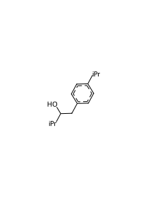 CC(C)c1ccc(CC(O)C(C)C)cc1